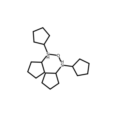 C1CCC([SiH](O[SiH](C2CCCC2)C2CCCC2)C2CCCC2)C1